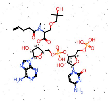 C=CCCC(=O)N(C)C(COCC(C)(C)O)C(=O)O[C@H]1[C@@H](O)[C@H](n2cnc3c(N)ncnc32)O[C@@H]1COP(=O)(O)O[C@H]1[C@@H](O)[C@H](n2ccc(N)nc2=O)O[C@@H]1COP(=O)(O)O